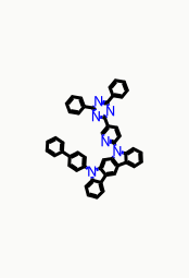 c1ccc(-c2ccc(-n3c4ccccc4c4cc5c6ccccc6n(-c6ccc(-c7nc(-c8ccccc8)nc(-c8ccccc8)n7)cn6)c5cc43)cc2)cc1